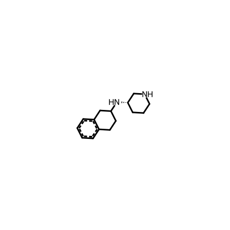 c1ccc2c(c1)CCC(N[C@H]1CCCNC1)C2